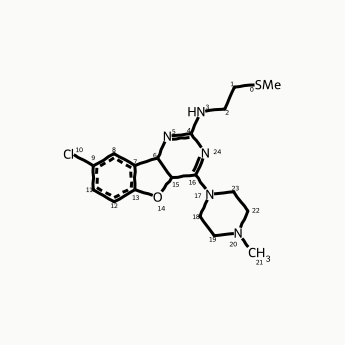 CSCCNC1=NC2c3cc(Cl)ccc3OC2C(N2CCN(C)CC2)=N1